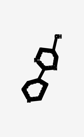 Oc1cnc(-c2ccncc2)nc1